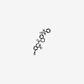 N#Cc1ccc(CCC(=O)N2CCCc3cc(NS(=O)(=O)c4ccccc4)ccc32)c([N+](=O)[O-])c1